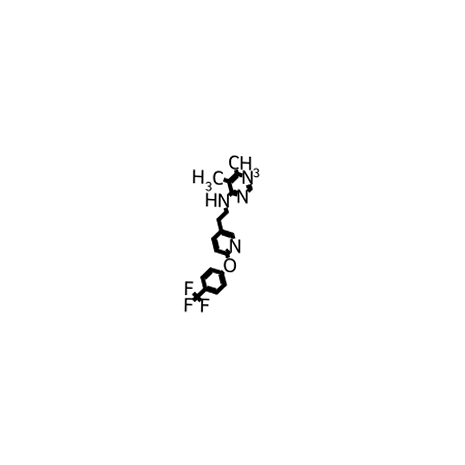 Cc1ncnc(NCCc2ccc(Oc3ccc(C(F)(F)F)cc3)nc2)c1C